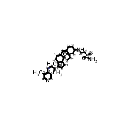 C=C(/C=C\c1ccncc1C)[C@H]1CC[C@@H]2[C@]1(C)CC=C1C=C3CCC(NCCS(N)(=O)=O)C[C@]34CC[C@@]12O4